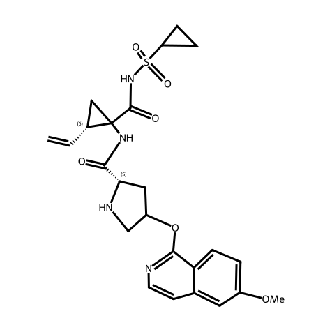 C=C[C@@H]1CC1(NC(=O)[C@@H]1CC(Oc2nccc3cc(OC)ccc23)CN1)C(=O)NS(=O)(=O)C1CC1